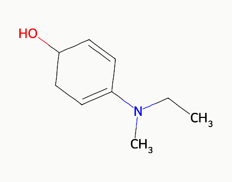 CCN(C)C1=CCC(O)C=C1